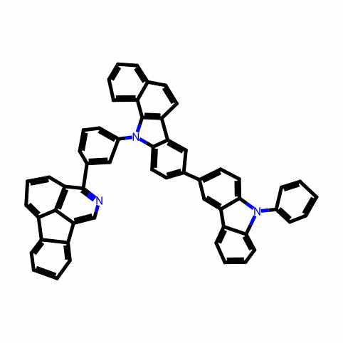 c1ccc(-n2c3ccccc3c3cc(-c4ccc5c(c4)c4ccc6ccccc6c4n5-c4cccc(-c5ncc6c7c(cccc57)-c5ccccc5-6)c4)ccc32)cc1